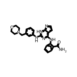 NC(=O)C1C2C=CC(C2)C1Nc1nc(Nc2cccc(CN3CCOCC3)c2)[nH]c2nccc1-2